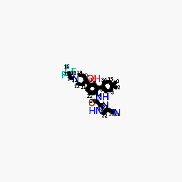 CC1(C)CC=C(c2cc(C3(O)CCN(CC(F)(F)F)CC3)ccc2NC(=O)c2nc(C#N)c[nH]2)CC1